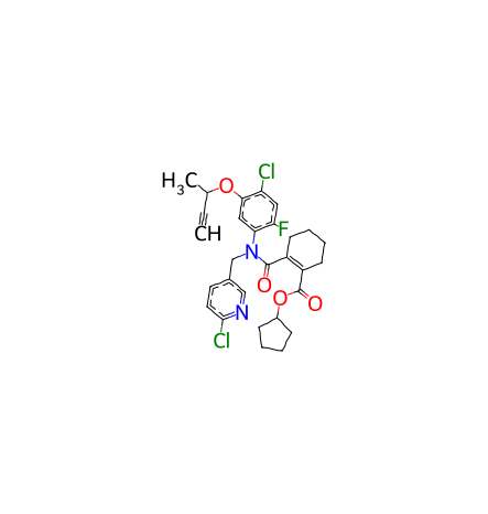 C#CC(C)Oc1cc(N(Cc2ccc(Cl)nc2)C(=O)C2=C(C(=O)OC3CCCC3)CCCC2)c(F)cc1Cl